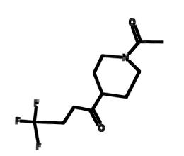 CC(=O)N1CCC(C(=O)CCC(F)(F)F)CC1